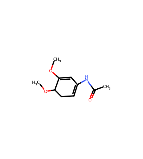 COC1=CC(NC(C)=O)=CCC1OC